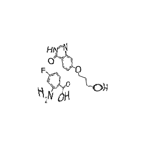 Nc1cc(F)ccc1C(=O)O.O=c1[nH]cnc2cc(OCCCO)ccc12